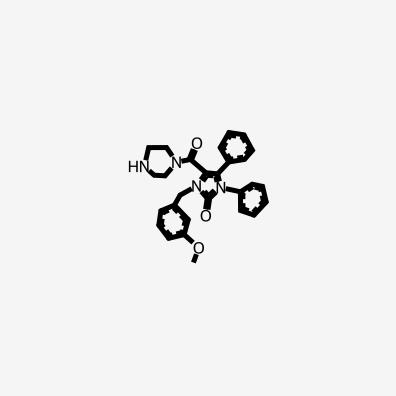 COc1cccc(Cn2c(C(=O)N3CCNCC3)c(-c3ccccc3)n(-c3ccccc3)c2=O)c1